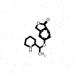 CC(Oc1ccc2c(c1)COC2=O)C1CCCCN1